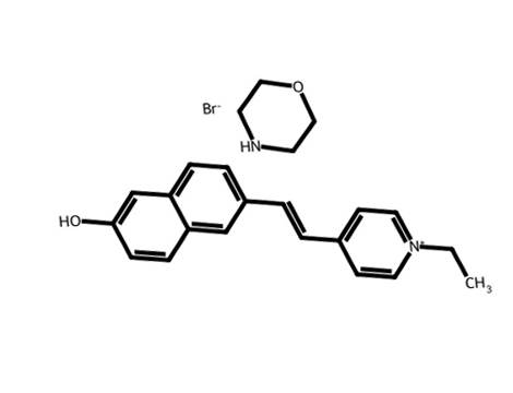 C1COCCN1.CC[n+]1ccc(C=Cc2ccc3cc(O)ccc3c2)cc1.[Br-]